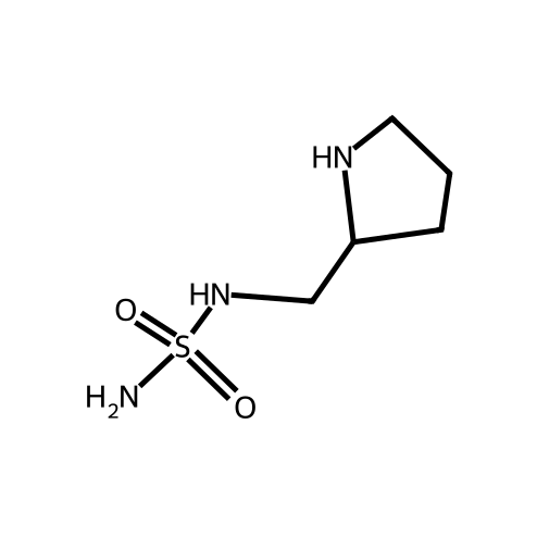 NS(=O)(=O)NCC1CCCN1